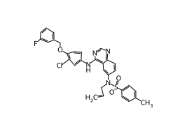 C=CCN(c1ccc2ncnc(Nc3ccc(OCc4cccc(F)c4)c(Cl)c3)c2c1)S(=O)(=O)c1ccc(C)cc1